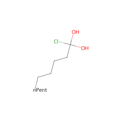 CCCCCCCCCC(O)(O)Cl